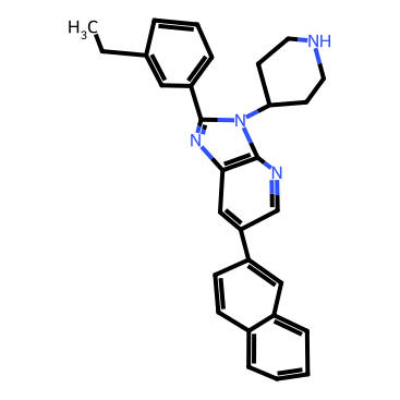 CCc1cccc(-c2nc3cc(-c4ccc5ccccc5c4)cnc3n2C2CCNCC2)c1